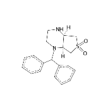 O=S1(=O)C[C@@H]2NCCN(C(c3ccccc3)c3ccccc3)[C@@H]2C1